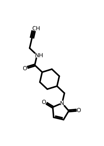 C#CCNC(=O)C1CCC(CN2C(=O)C=CC2=O)CC1